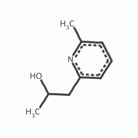 Cc1cccc(CC(C)O)n1